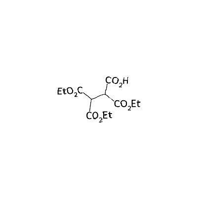 CCOC(=O)C(C(=O)O)C(C(=O)OCC)C(=O)OCC